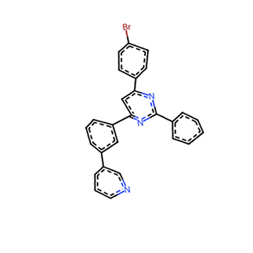 Brc1ccc(-c2cc(-c3cccc(-c4cccnc4)c3)nc(-c3ccccc3)n2)cc1